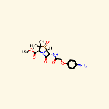 CC(C)(C)OC(=O)[C@@H]1N2C(=O)[C@@H](NC(=O)COc3ccc(N)cc3)[C@H]2[S@@+]([O-])C1(C)C